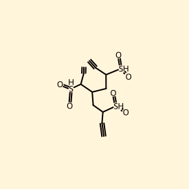 C#CC(CC(CC(C#C)[SH](=O)=O)C(C#C)[SH](=O)=O)[SH](=O)=O